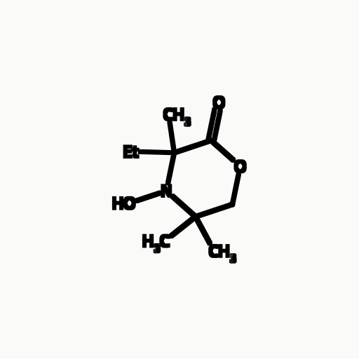 CCC1(C)C(=O)OCC(C)(C)N1O